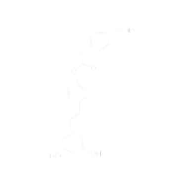 CC(C)Cc1ccc([C@@H](C)C(=O)Oc2ccc(/C=C/c3cc(O)cc(O)c3)cc2)cc1